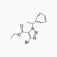 CCOC(=O)c1c(Br)nnn1C(C)c1ccccc1